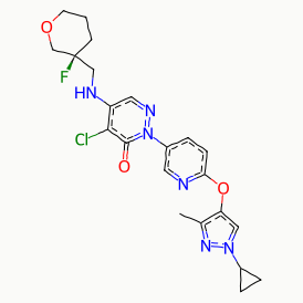 Cc1nn(C2CC2)cc1Oc1ccc(-n2ncc(NC[C@@]3(F)CCCOC3)c(Cl)c2=O)cn1